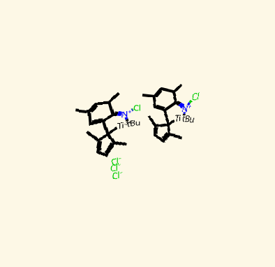 CC1=CC(C)C(=[N+](Cl)C(C)(C)C)C([C]2([Ti+3])C(C)=CC=C2C)=C1.CC1=CC(C)C(=[N+](Cl)C(C)(C)C)C([C]2([Ti])C(C)=CC=C2C)=C1.[Cl-].[Cl-].[Cl-]